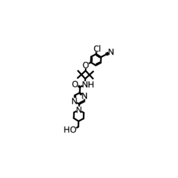 CC1(C)C(NC(=O)c2cnc(N3CCC(CO)CC3)cn2)C(C)(C)C1Oc1ccc(C#N)c(Cl)c1